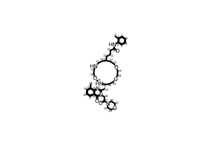 Cc1ccccc1NC(=O)CCCC1CCNCCOCN[C@@H](Cc2nc3c(C)cccc3c(=O)n2CC(=O)N2CCOCC2)CCOCCOCC1